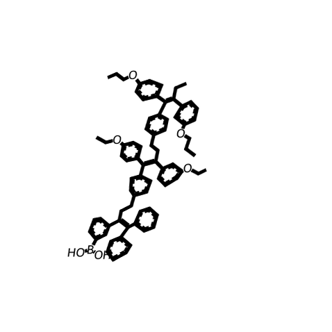 CCCOc1ccc(/C(=C(\CC)c2cccc(OCCC)c2)c2ccc(CC/C(=C(/c3ccc(CCC(=C(c4ccccc4)c4ccccc4)c4cccc(B(O)O)c4)cc3)c3ccc(OCC)cc3)c3cccc(OCC)c3)cc2)cc1